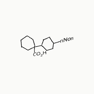 CCCCCCCCCC1CCC(C2(C(=O)O)CCCCC2)CC1